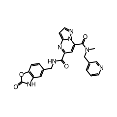 CN(Cc1cccnc1)C(=O)c1cc(C(=O)NCc2ccc3oc(=O)[nH]c3c2)nc2ccnn12